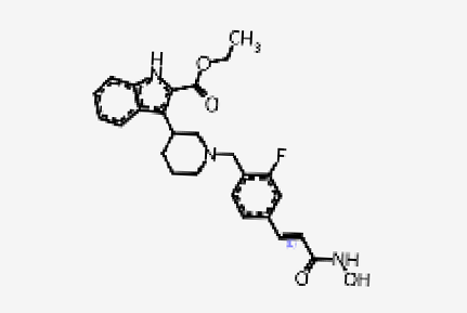 CCOC(=O)c1[nH]c2ccccc2c1C1CCCN(Cc2ccc(/C=C/C(=O)NO)cc2F)C1